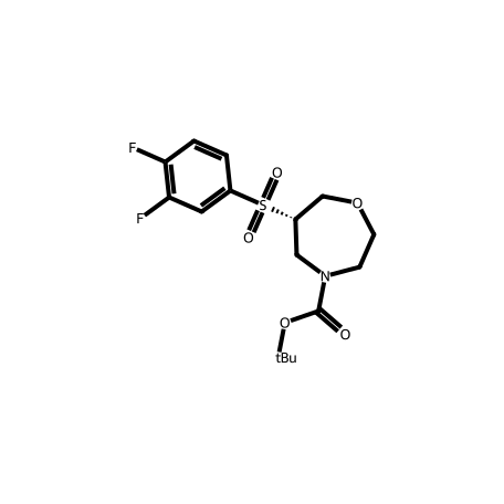 CC(C)(C)OC(=O)N1CCOC[C@@H](S(=O)(=O)c2ccc(F)c(F)c2)C1